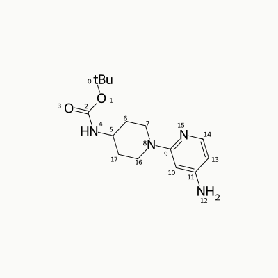 CC(C)(C)OC(=O)NC1CCN(c2cc(N)ccn2)CC1